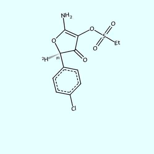 [2H][C@]1(c2ccc(Cl)cc2)OC(N)=C(OS(=O)(=O)CC)C1=O